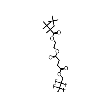 CC(C)(C)CC(C)(C(=O)OCCOC(=O)CCC(=O)OCC(F)(F)C(F)(F)F)C(C)(C)C